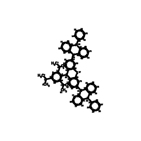 CC(C)c1cc(C(C)C)c(B2c3ccc(N4c5ccccc5N(c5ccccc5)c5ccccc54)cc3Sc3cc(N4c5ccccc5N(c5ccccc5)c5ccccc54)ccc32)c(C(C)C)c1